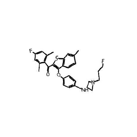 Cc1ccc2c(Oc3ccc(NC4CN(CCCF)C4)cc3)c(C(=O)c3c(C)cc(F)cc3C)sc2c1